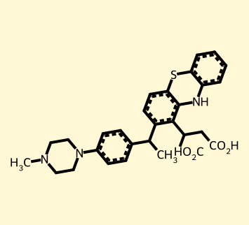 CC(c1ccc(N2CCN(C)CC2)cc1)c1ccc2c(c1C(CC(=O)O)C(=O)O)Nc1ccccc1S2